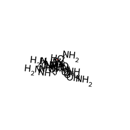 C[C@H](NC(=O)[C@H](Cc1c[nH]c2ccccc12)NC(=O)[C@H](CCCCN)NC(=O)[C@@H]1CCCCN1C(=O)CNC(=O)[C@H](CCCNC(=N)N)NC(=O)CN)C(=O)N[C@@H](CCCCN)C(=O)O